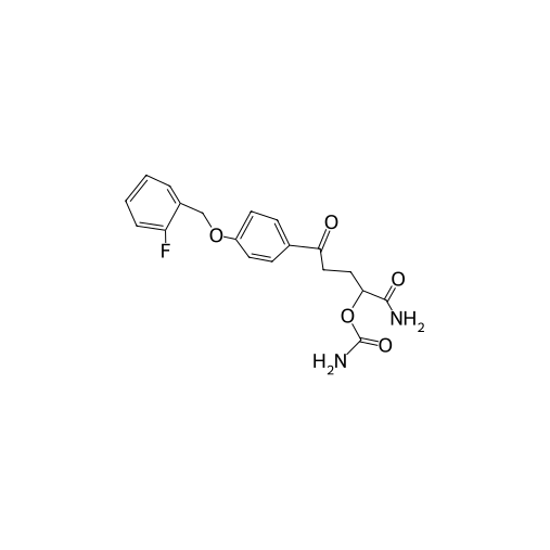 NC(=O)OC(CCC(=O)c1ccc(OCc2ccccc2F)cc1)C(N)=O